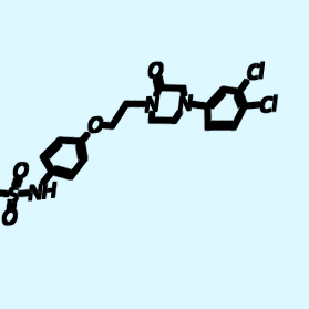 CS(=O)(=O)Nc1ccc(OCCN2CCN(c3ccc(Cl)c(Cl)c3)CC2=O)cc1